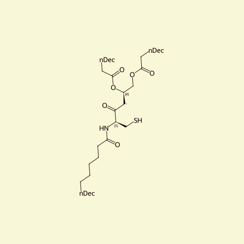 CCCCCCCCCCCCCCCC(=O)N[C@H](CS)C(=O)[CH][C@H](COC(=O)CCCCCCCCCCC)OC(=O)CCCCCCCCCCC